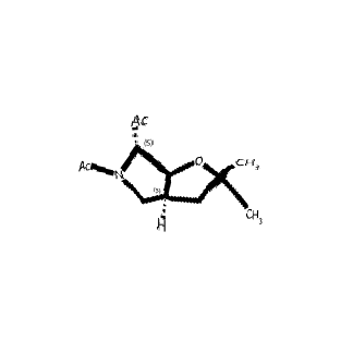 CC(=O)[C@@H]1C2OC(C)(C)C[C@H]2CN1C(C)=O